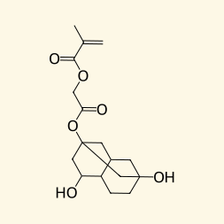 C=C(C)C(=O)OCC(=O)OC12CC(O)C3CCC(O)(CC3C1)C2